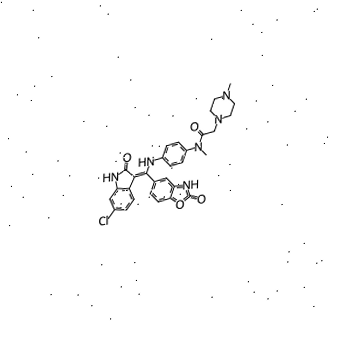 CN1CCN(CC(=O)N(C)c2ccc(N/C(=C3\C(=O)Nc4cc(Cl)ccc43)c3ccc4oc(=O)[nH]c4c3)cc2)CC1